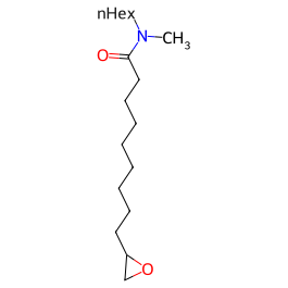 CCCCCCN(C)C(=O)CCCCCCCCC1CO1